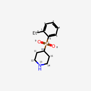 CCc1ccccc1S(=O)(=O)C1CCNCC1